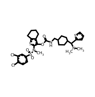 CN(C)C(c1cccs1)C1CCC(CNC(=O)Oc2c(N(C)S(=O)(=O)c3ccc(Cl)c(Cl)c3)sc3c2CCCC3)CC1